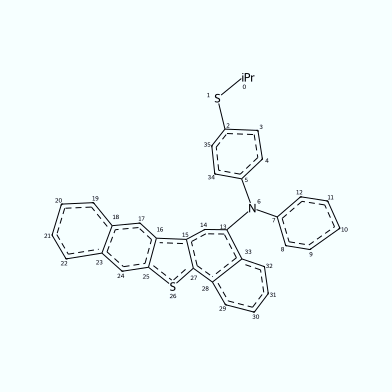 CC(C)Sc1ccc(N(c2ccccc2)c2cc3c4cc5ccccc5cc4sc3c3ccccc23)cc1